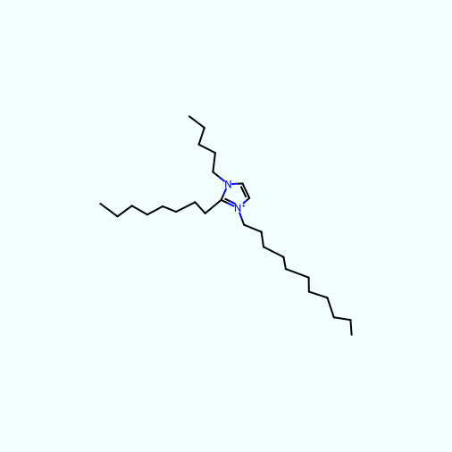 CCCCCCCCCCC[n+]1ccn(CCCCC)c1CCCCCCCC